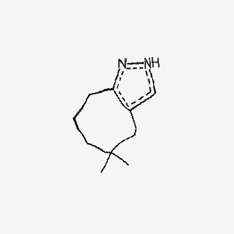 CC1(C)CCCc2n[nH]cc2C1